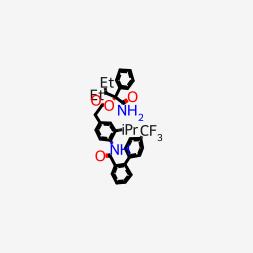 CCC(CC)C(OC(=O)Cc1ccc(NC(=O)c2ccccc2-c2ccc(C(F)(F)F)cc2)c(C(C)C)c1)(C(N)=O)c1ccccc1